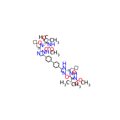 COC(=O)N[C@H](C(=O)N1OC2(CCC2)C[C@H]1c1ncc(-c2ccc(-c3ccc(-c4cnc([C@@H]5CC6(CCC6)ON5C[C@@](C=O)(NC(=O)OC)C(C)C)[nH]4)cc3)cc2)[nH]1)C(C)C